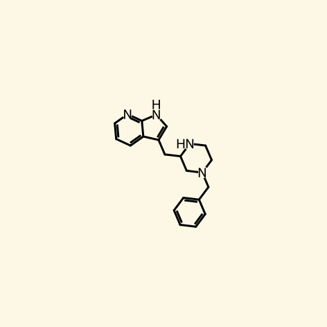 c1ccc(CN2CCNC(Cc3c[nH]c4ncccc34)C2)cc1